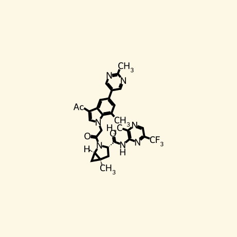 CC(=O)c1cn(CC(=O)N2[C@H](C(=O)Nc3nc(C(F)(F)F)cnc3C)C[C@@]3(C)C[C@@H]23)c2c(C)cc(-c3cnc(C)nc3)cc12